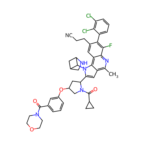 Cc1nc2c(F)c(-c3cccc(Cl)c3Cl)c(CCC#N)cc2c2c1cc(C1CC(Oc3cccc(C(=O)N4CCOCC4)c3)CN1C(=O)C1CC1)n2C1C2CNC1C2